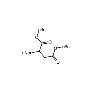 CCCCCCCCCC(CC(=O)OCCCC)C(=O)OCCCC